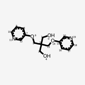 OCC(CO)(COc1cccnc1)COc1cccnc1